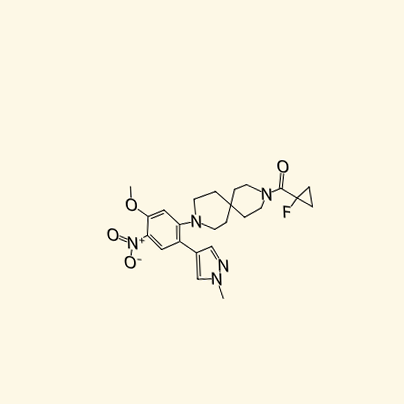 COc1cc(N2CCC3(CCN(C(=O)C4(F)CC4)CC3)CC2)c(-c2cnn(C)c2)cc1[N+](=O)[O-]